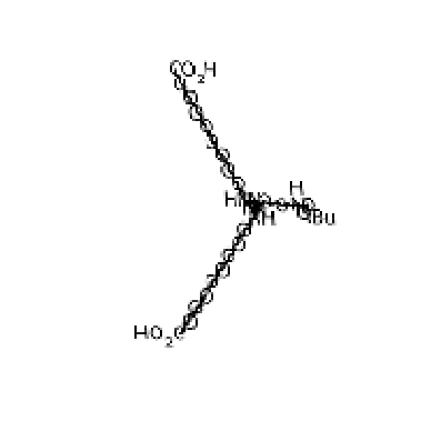 CC(C)(C)OC(=O)NCCOCCOc1nc(NCCOCCOCCOCCOCCOCCOCCOCCOCCC(=O)O)nc(NCCOCCOCCOCCOCCOCCOCCOCCOCCC(=O)O)n1